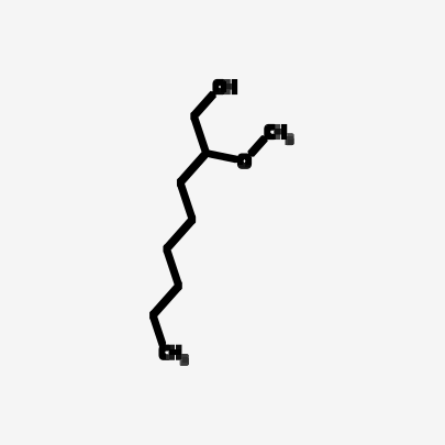 CCCCCCC(CO)OC